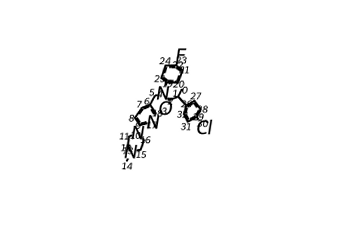 CC(C(=O)N(Cc1ccc(N2CCN(C)CC2)nc1)c1ccc(F)cc1)c1ccc(Cl)cc1